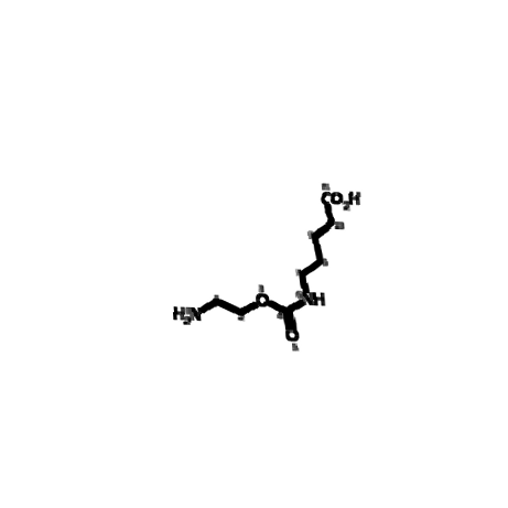 NCCOC(=O)NCCCCC(=O)O